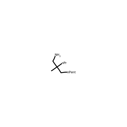 CCCCCCC(C)(CN)CCC